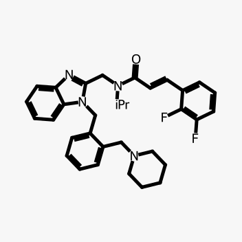 CC(C)N(Cc1nc2ccccc2n1Cc1ccccc1CN1CCCCC1)C(=O)C=Cc1cccc(F)c1F